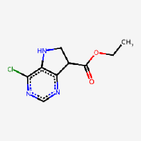 CCOC(=O)C1CNc2c(Cl)ncnc21